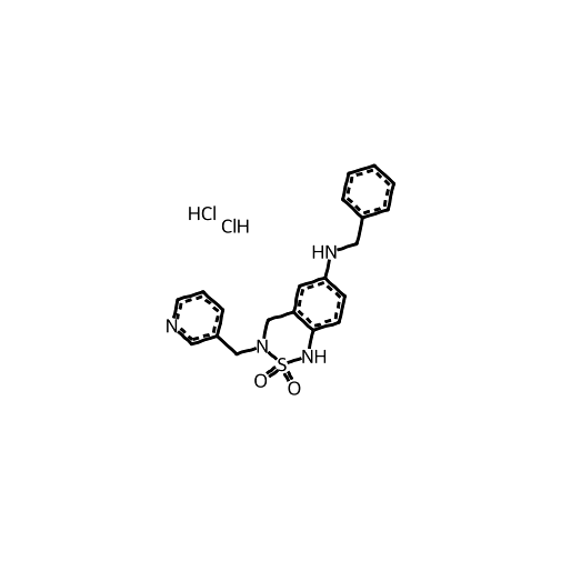 Cl.Cl.O=S1(=O)Nc2ccc(NCc3ccccc3)cc2CN1Cc1cccnc1